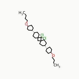 CCCCO[C@H]1CC[C@H](C2CCC3(CC2)CC2(CCC([C@H]4CC[C@H](OCCCC)CC4)CC2)C3(Cl)Cl)CC1